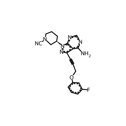 N#CN1CCC[C@@H](n2nc(C#CCOc3cccc(F)c3)c3c(N)ncnc32)C1